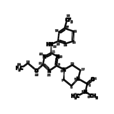 CN(C)C(=O)N1CCN(c2nc(Nc3cccc(C(F)(F)F)c3)nc(OCC(F)(F)F)n2)CC1